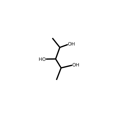 CC(O)C(O)C(C)O